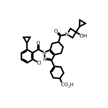 O=C(O)C1CC=C(c2nn(C(=O)c3c(Cl)cccc3C3CC3)c3c2CCC(C(=O)N2CC(O)(C4CC4)C2)C3)CC1